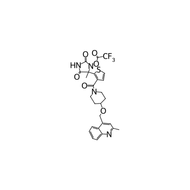 Cc1cc(COC2CCN(C(=O)c3ccsc3C3(C)C(=O)NC(=O)N3OC(=O)C(F)(F)F)CC2)c2ccccc2n1